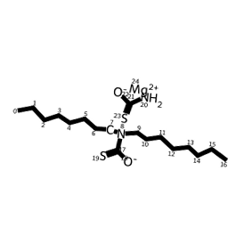 CCCCCCCCN(CCCCCCCC)C([O-])=S.NC([O-])=S.[Mg+2]